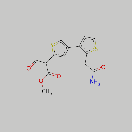 COC(=O)C(C=O)c1cc(-c2ccsc2CC(N)=O)cs1